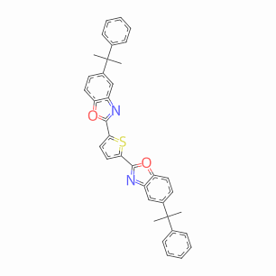 CC(C)(c1ccccc1)c1ccc2oc(-c3ccc(-c4nc5cc(C(C)(C)c6ccccc6)ccc5o4)s3)nc2c1